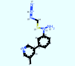 Cc1cncc(-c2cccc(N(N)SCN=[N+]=[N-])c2)c1